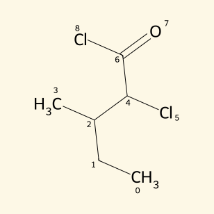 CCC(C)C(Cl)C(=O)Cl